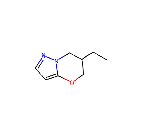 CCC1COc2ccnn2C1